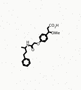 COC(CC(=O)O)c1ccc(OCC(=O)NC(C)CCc2ccccc2)cc1